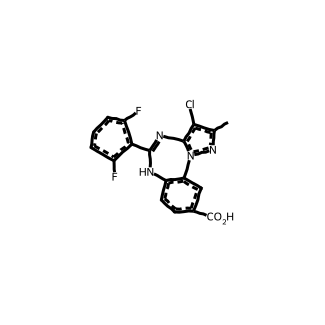 Cc1nn2c(c1Cl)N=C(c1c(F)cccc1F)Nc1ccc(C(=O)O)cc1-2